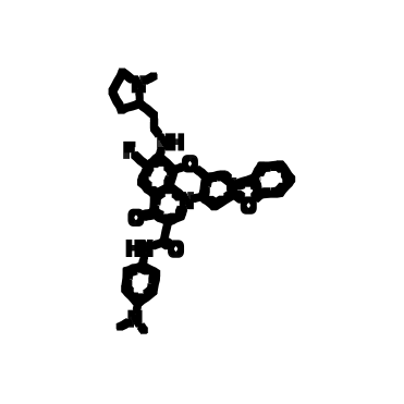 CN(C)c1ccc(NC(=O)c2cn3c4c(c(NCCC5CCCN5C)c(F)cc4c2=O)Oc2cc4c(cc2-3)oc2ccccc24)cc1